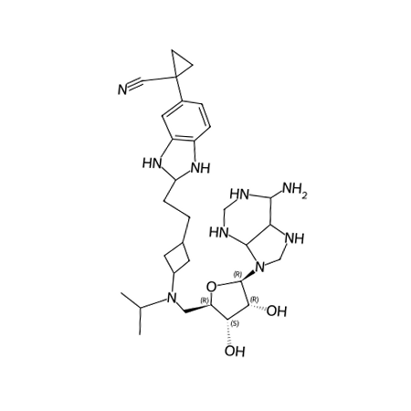 CC(C)N(C[C@H]1O[C@@H](N2CNC3C(N)NCNC32)[C@H](O)[C@@H]1O)C1CC(CCC2Nc3ccc(C4(C#N)CC4)cc3N2)C1